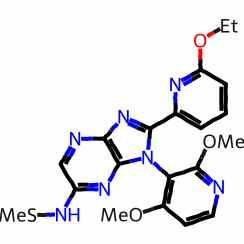 CCOc1cccc(-c2nc3ncc(NSC)nc3n2-c2c(OC)ccnc2OC)n1